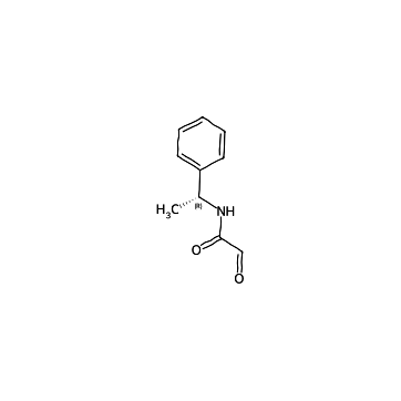 C[C@@H](NC(=O)C=O)c1ccccc1